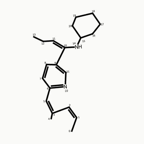 C/C=C\C(C)=C/c1ccc(/C(=C\CC)NC2CCCCC2)cn1